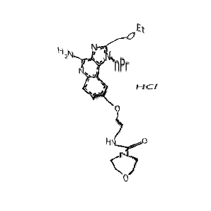 CCCn1c(COCC)nc2c(N)nc3ccc(OCCNC(=O)N4CCOCC4)cc3c21.Cl